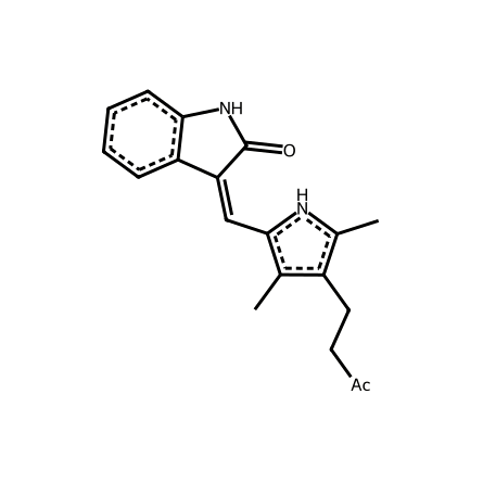 CC(=O)CCc1c(C)[nH]c(/C=C2\C(=O)Nc3ccccc32)c1C